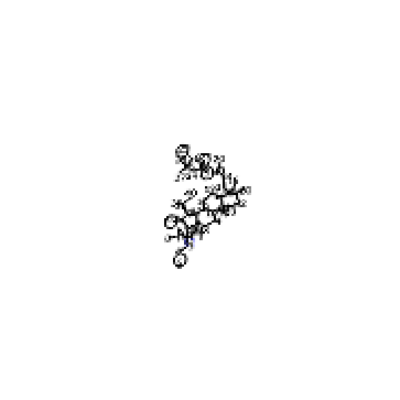 CN/C(=C\C=O)CC12CCC3C(CCC4C(C)(CCC(C)OC(=O)CC(C)(C)C=O)C(C)CCC34C)C1=C(C(C)C)C(=O)C2